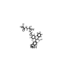 CC/C(=C(/c1ccc(OCCNC(C)/C=C/C(=O)N(C)C)cc1)c1ccc2[nH]ncc2c1)c1ccccc1